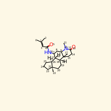 CC(C)=CC(=O)NC1CC2N(C)C(=O)CC[C@]2(C)[C@@H]2CC[C@]3(C)CCC[C@H]3[C@H]12